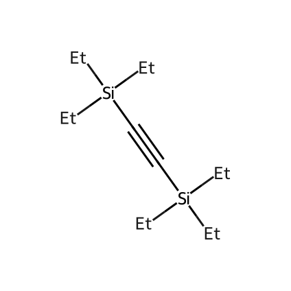 CC[Si](C#C[Si](CC)(CC)CC)(CC)CC